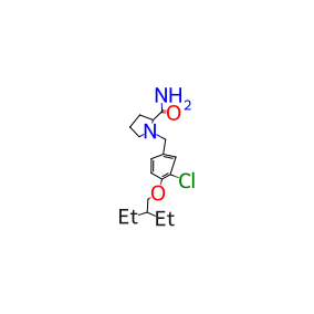 CCC(CC)COc1ccc(CN2CCCC2C(N)=O)cc1Cl